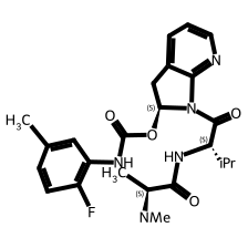 CN[C@@H](C)C(=O)N[C@H](C(=O)N1c2ncccc2C[C@@H]1OC(=O)Nc1cc(C)ccc1F)C(C)C